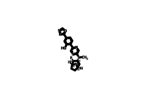 CN(c1cnc(-c2ccc(-c3nnco3)cc2O)cn1)[C@@H]1C[C@H]2CC[C@H](N2)[C@@H]1F